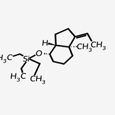 C/C=C1/CC[C@H]2[C@@H](O[Si](CC)(CC)CC)CCC[C@]12C